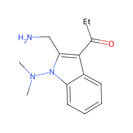 CCC(=O)c1c(CN)n(N(C)C)c2ccccc12